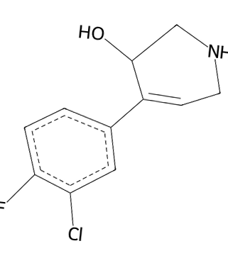 OC1CNCC=C1c1ccc(F)c(Cl)c1